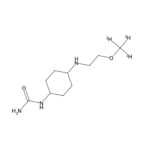 [2H]C([2H])([2H])OCCNC1CCC(NC(N)=O)CC1